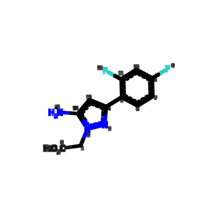 CCOC(=O)Cn1nc(-c2ccc(F)cc2F)cc1N